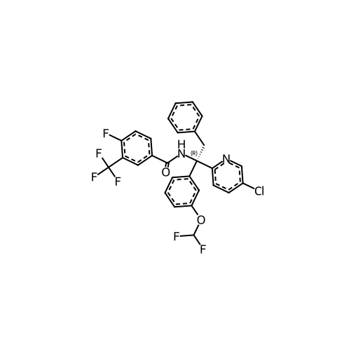 O=C(N[C@](Cc1ccccc1)(c1cccc(OC(F)F)c1)c1ccc(Cl)cn1)c1ccc(F)c(C(F)(F)F)c1